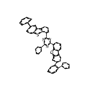 c1ccc(-c2ccc3sc4c(-c5nc(-c6ccccc6)nc(-c6cccc7c6oc6cc(-c8ccccc8-c8ccccc8)ccc67)n5)cccc4c3c2)cc1